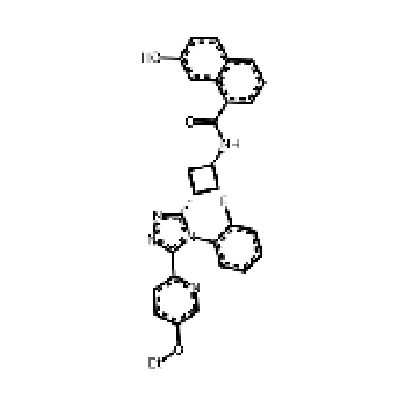 CCOc1ccc(-c2nnc([C@H]3C[C@H](NC(=O)c4cccc5ccc(O)cc45)C3)n2-c2ccccc2F)nc1